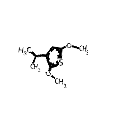 COc1cc(C(C)C)c(OC)s1